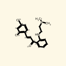 CN(C)CCNc1ccccc1C(=O)C=Cc1ccc(Cl)cc1Cl